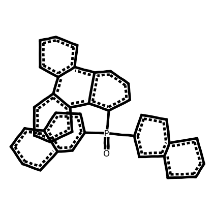 O=P(c1ccc2ccccc2c1)(c1ccc2ccccc2c1)c1cccc2c3ccccc3c3ccccc3c12